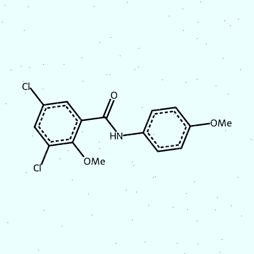 COc1ccc(NC(=O)c2cc(Cl)cc(Cl)c2OC)cc1